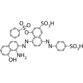 Nc1c(N=Nc2ccc(N=Nc3ccc(S(=O)(=O)O)cc3)c3cc(S(=O)(=O)O)cc(OS(=O)(=O)c4ccccc4)c23)ccc2cccc(O)c12